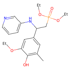 CCOc1cc(C(CP(=O)(OCC)OCC)Nc2cccnc2)cc(C)c1O